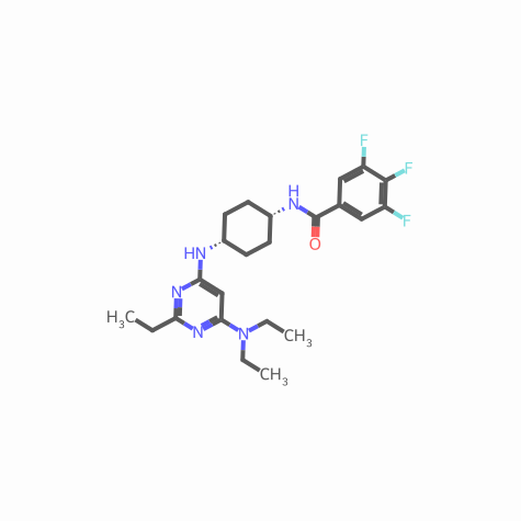 CCc1nc(N[C@H]2CC[C@@H](NC(=O)c3cc(F)c(F)c(F)c3)CC2)cc(N(CC)CC)n1